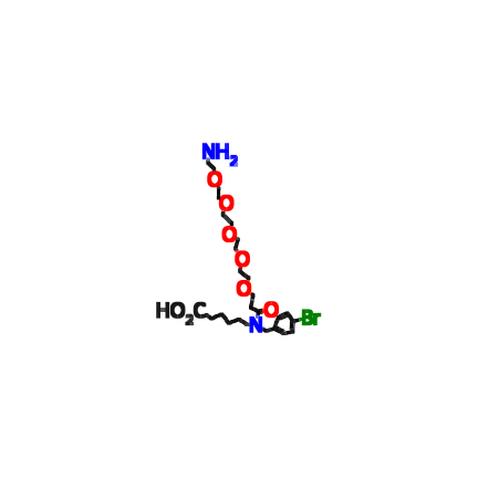 NCCOCCOCCOCCOCCOCCC(=O)N(CCCCCC(=O)O)Cc1ccc(Br)cc1